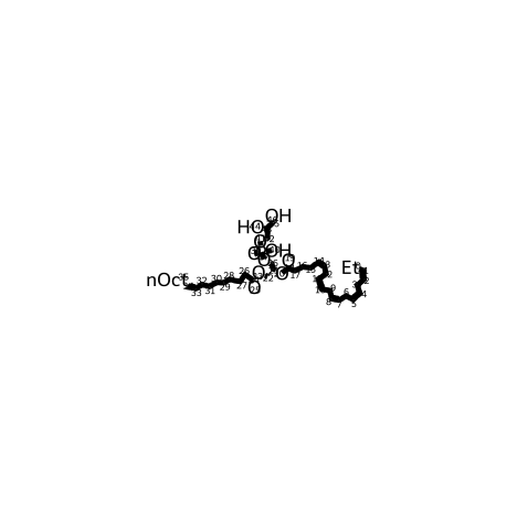 CC/C=C\C/C=C\C/C=C\C/C=C\C/C=C\CCCC(=O)O[C@H](COC(=O)CCCCCCC/C=C\CCCCCCCC)COP(=O)(O)OC[C@@H](O)CO